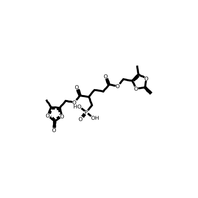 C=C1OC(C)=C(COC(=O)CCC(CP(=O)(O)O)C(=O)OCc2oc(=O)oc2C)O1